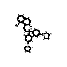 Brc1cccc2ccc3c(c12)C=CC(c1ccc(N2CCCC2)cc1)(c1ccc(N2CCCC2)cc1)O3